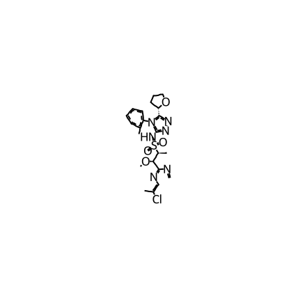 C=N/C(=N\C=C(/C)Cl)[C@@H](OC)[C@H](C)S(=O)(=O)Nc1nnc([C@@H]2CCCO2)n1-c1ccccc1C